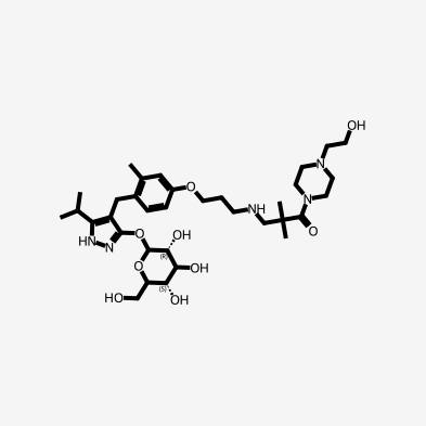 Cc1cc(OCCCNCC(C)(C)C(=O)N2CCN(CCO)CC2)ccc1Cc1c(OC2OC(CO)[C@@H](O)C(O)[C@H]2O)n[nH]c1C(C)C